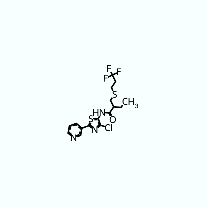 CCC(CSCCC(F)(F)F)C(=O)Nc1sc(-c2cccnc2)nc1Cl